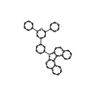 c1ccc(-c2cc(-c3cccc(-n4c5ccc6ccccc6c5c5c6ccccc6ccc54)c3)cc(-c3ccccc3)n2)cc1